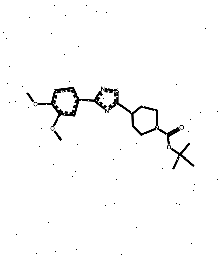 COc1ccc(-c2nsc(C3CCN(C(=O)OC(C)(C)C)CC3)n2)cc1OC